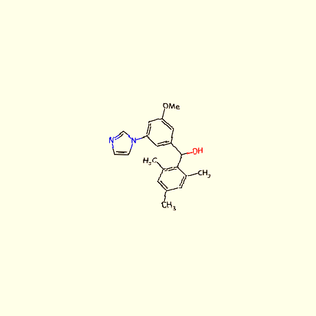 COc1cc(C(O)c2c(C)cc(C)cc2C)cc(-n2ccnc2)c1